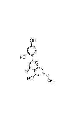 COc1cc(O)c2c(=O)cc(-c3ccc(O)cc3O)oc2c1